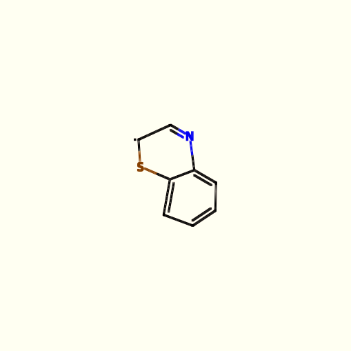 [CH]1C=Nc2ccccc2S1